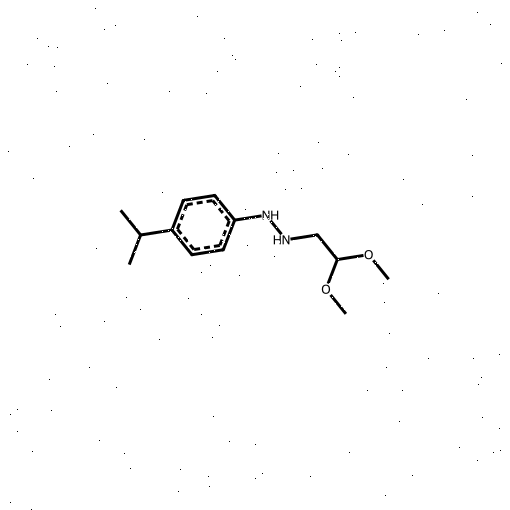 COC(CNNc1ccc(C(C)C)cc1)OC